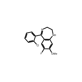 COc1cc2c(cc1F)C(c1ccccc1Cl)=NCCN2